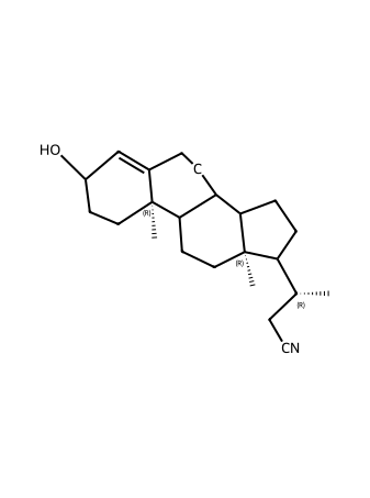 C[C@H](CC#N)C1CCC2C3CCC4=CC(O)CC[C@]4(C)C3CC[C@@]21C